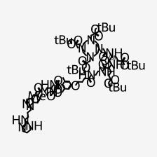 COC(=O)C(CNC(=O)c1ccc2c(cnn2CCCNC2=NCCCN2)c1)NS(=O)(=O)c1c(C)cc(OCCCC(=O)NCCNC(=O)C(CCC(=O)OC(C)(C)C)NC(=O)[C@H](CCC(=O)OC(C)(C)C)NC(=O)CN2CCN(CC(=O)OC(C)(C)C)CCN(CC(=O)OC(C)(C)C)CCN(CC(=O)OC(C)(C)C)CC2)cc1C